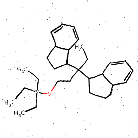 CCC(CCO[Si](CC)(CC)CC)(C1CCC2C=CC=CC21)C1CCC2C=CC=CC21